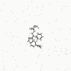 [C-]#[N+]c1ccc2cnn(C(CCNC)c3ccccc3)c2c1